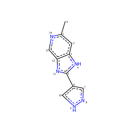 Cc1cc2[nH]c(-c3cn[nH]c3)nc2cn1